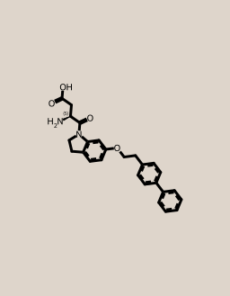 N[C@@H](CC(=O)O)C(=O)N1CCc2ccc(OCCc3ccc(-c4ccccc4)cc3)cc21